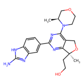 C[C@H]1COCCN1c1nc(-c2ccc3[nH]c(N)nc3c2)nc2c1CO[C@@]2(C)CCO